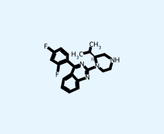 CC(C)[C@H]1CNCCN1c1nc(-c2ccc(F)cc2F)c2ccccc2n1